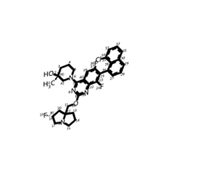 C[C@@]1(O)CCCN(c2nc(OCC34CCCN3C[C@H](F)C4)nc3c(F)c(-c4cccc5cccc(Cl)c45)c(F)cc23)C1